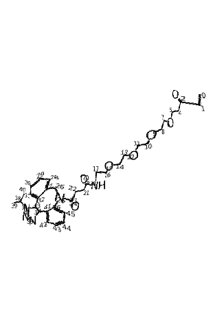 CCC(=O)CCOCCOCCOCCOCCNC(=O)CCC(=O)N1Cc2ccccc2C2C(N=NN2C(C)C)c2ccccc21